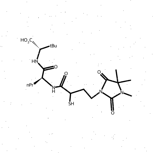 CCC[C@H](NC(=O)C(S)CCN1C(=O)N(C)C(C)(C)C1=O)C(=O)N[C@H](C(=O)O)C(C)(C)C